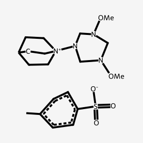 CON1CN(OC)CN([N+]23CCC(CC2)CC3)C1.Cc1ccc(S(=O)(=O)[O-])cc1